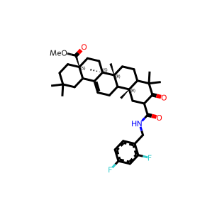 COC(=O)[C@]12CCC(C)(C)CC1C1=CCC3[C@@]4(C)CC(C(=O)NCc5ccc(F)cc5F)C(=O)C(C)(C)C4CC[C@@]3(C)[C@]1(C)CC2